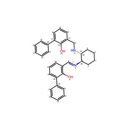 Oc1c(/C=N/[C@@H]2CCCC[C@H]2NCc2cccc(-c3ccccc3)c2O)cccc1-c1ccccc1